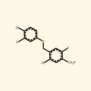 O=C(O)c1cc(Cl)c(COc2ccc(Cl)c(Cl)c2)cc1F